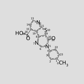 Cc1ccc(-n2cnc3c(sc4nccc(C(=O)O)c43)c2=O)cc1